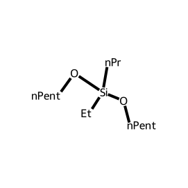 CCCCCO[Si](CC)(CCC)OCCCCC